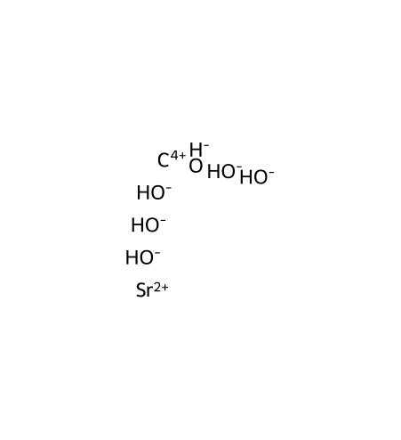 [C+4].[OH-].[OH-].[OH-].[OH-].[OH-].[OH-].[Sr+2]